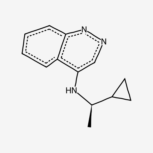 C[C@@H](Nc1cnnc2ccccc12)C1CC1